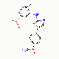 CC(=O)c1ccc(C)c(Nc2ncc(-c3ccc(C(N)=O)cc3)o2)c1